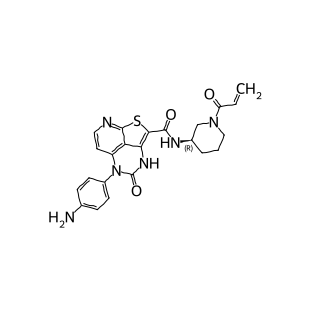 C=CC(=O)N1CCC[C@@H](NC(=O)c2sc3nccc4c3c2NC(=O)N4c2ccc(N)cc2)C1